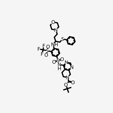 CC(C)(C)OC(=O)N1CCc2c(ncnc2NS(=O)(=O)c2ccc(NC(CCN3CCOCC3)CSc3ccccc3)c(S(=O)(=O)C(F)(F)F)c2)C1